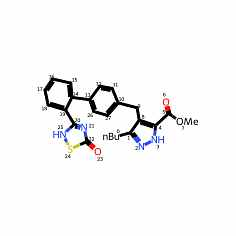 CCCCc1n[nH]c(C(=O)OC)c1Cc1ccc(-c2ccccc2-c2nc(=O)s[nH]2)cc1